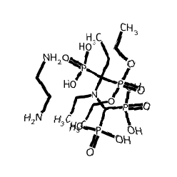 CCOP(=O)(OCC)C(CC)(N(CC)C(P(=O)(O)O)P(=O)(O)O)P(=O)(O)O.NCCN